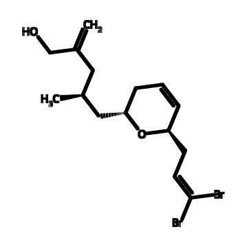 C=C(CO)C[C@H](C)C[C@@H]1CC=C[C@@H](CC=C(Br)Br)O1